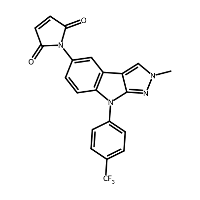 Cn1cc2c3cc(N4C(=O)C=CC4=O)ccc3n(-c3ccc(C(F)(F)F)cc3)c2n1